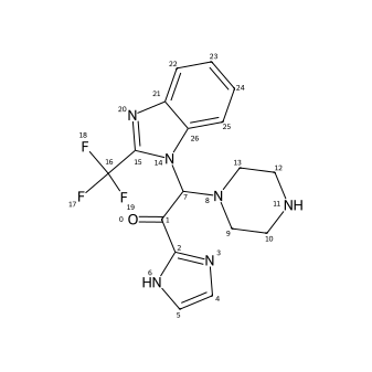 O=C(c1ncc[nH]1)C(N1CCNCC1)n1c(C(F)(F)F)nc2ccccc21